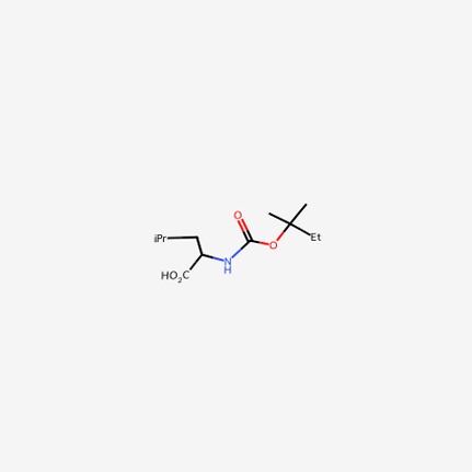 CCC(C)(C)OC(=O)NC(CC(C)C)C(=O)O